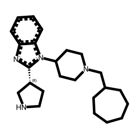 c1ccc2c(c1)nc([C@@H]1CCNC1)n2C1CCN(CC2CCCCCC2)CC1